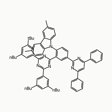 CCCCc1cc(CCCC)cc(-c2nc(-c3cc(CCCC)cc(C(C)(C)C)c3)nc(-c3cc(-c4nc(-c5ccccc5)cc(-c5ccccc5)n4)ccc3-n3c4ccc(C)cc4c4cc(C)ccc43)n2)c1